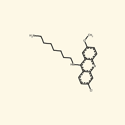 COc1ccc2nc3cc(Cl)ccc3c(NCCCCCCCN)c2c1